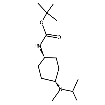 CC(C)N(C)[C@H]1CC[C@@H](NC(=O)OC(C)(C)C)CC1